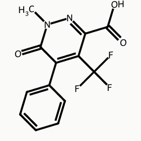 Cn1nc(C(=O)O)c(C(F)(F)F)c(-c2ccccc2)c1=O